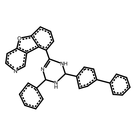 c1ccc(-c2ccc(C3NC(c4cccc5oc6ccncc6c45)=NC(c4ccccc4)N3)cc2)cc1